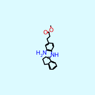 COC(=O)CCc1ccc(N[C@@H]2CCCc3ccccc32)c(N)c1